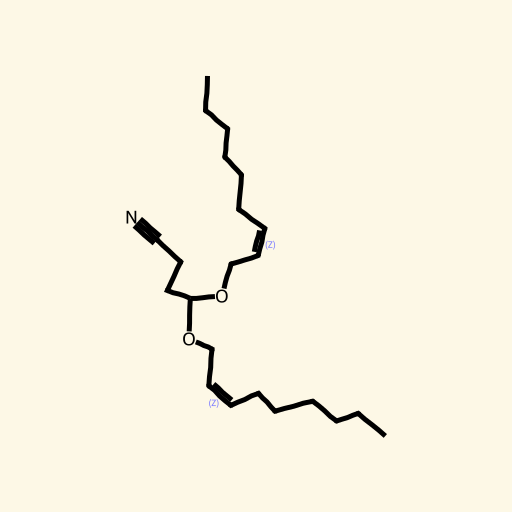 CCCCCC/C=C\COC(CCC#N)OC/C=C\CCCCCC